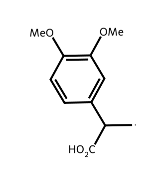 [CH2]C(C(=O)O)c1ccc(OC)c(OC)c1